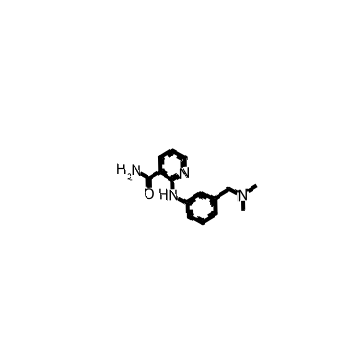 CN(C)Cc1cccc(Nc2ncccc2C(N)=O)c1